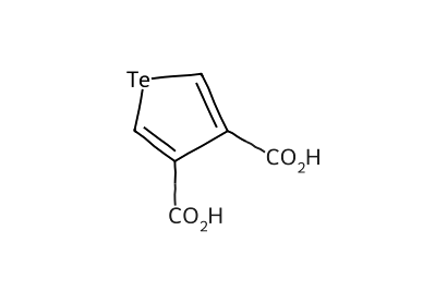 O=C(O)c1c[te]cc1C(=O)O